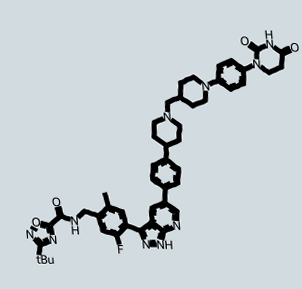 Cc1cc(-c2n[nH]c3ncc(-c4ccc(C5CCN(CC6CCN(c7ccc(N8CCC(=O)NC8=O)cc7)CC6)CC5)cc4)cc23)c(F)cc1CNC(=O)c1nc(C(C)(C)C)no1